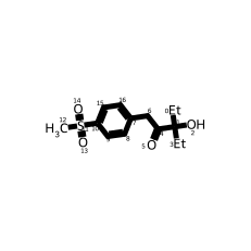 CCC(O)(CC)C(=O)Cc1ccc(S(C)(=O)=O)cc1